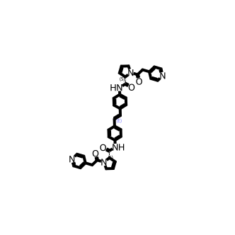 O=C(Nc1ccc(/C=C/c2ccc(NC(=O)[C@@H]3C=CCN3C(=O)Cc3ccncc3)cc2)cc1)[C@@H]1C=CCN1C(=O)Cc1ccncc1